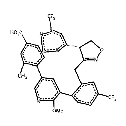 COc1ncc(-c2ccc(C(=O)O)cc2C)cc1-c1ccc(C(F)(F)F)cc1CC1=NOC[C@H]1c1ccnc(C(F)(F)F)c1